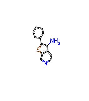 Nc1c(-c2ccccc2)sc2cnccc12